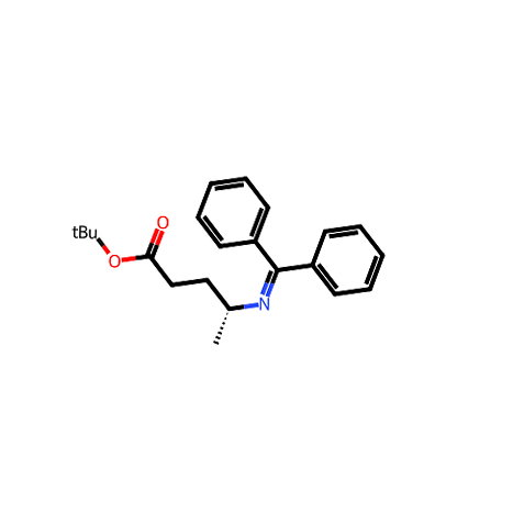 C[C@H](CCC(=O)OC(C)(C)C)N=C(c1ccccc1)c1ccccc1